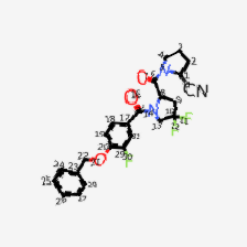 N#CC1CCCN1C(=O)C1CC(F)(F)CN1C(=O)c1ccc(OCc2ccccc2)c(F)c1